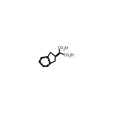 CCOC(=O)C(C(=O)OCC)=C1Cc2ccccc2C1